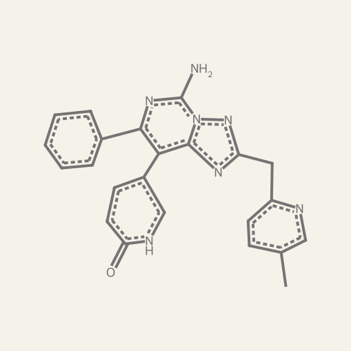 Cc1ccc(Cc2nc3c(-c4ccc(=O)[nH]c4)c(-c4ccccc4)nc(N)n3n2)nc1